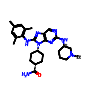 CCN1CCC[C@@H](Nc2ncc3nc(Nc4c(C)cc(C)cc4C)n([C@H]4CC[C@@H](C(N)=O)CC4)c3n2)C1